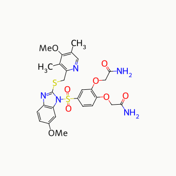 COc1ccc2nc(SCc3ncc(C)c(OC)c3C)n(S(=O)(=O)c3ccc(OCC(N)=O)c(OCC(N)=O)c3)c2c1